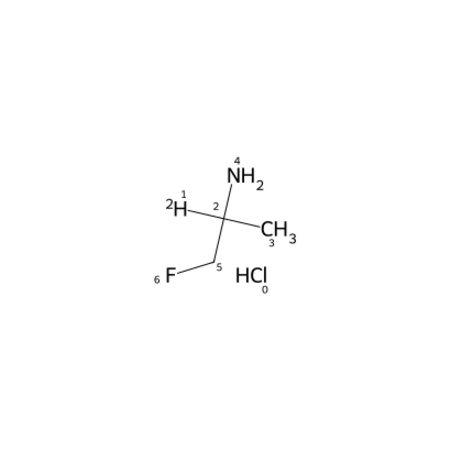 Cl.[2H]C(C)(N)CF